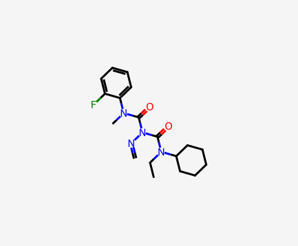 C=NN(C(=O)N(C)c1ccccc1F)C(=O)N(CC)C1CCCCC1